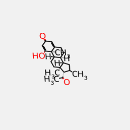 CC(=O)[C@H]1C(C)C[C@H]2[C@@H]3CCC4=CC(=O)C=C(O)[C@]4(C)[C@H]3CC[C@]12C